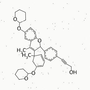 CC1=C(C2(C)C=CC=C(OC3CCCCO3)C2)C(c2ccc(C#CCO)cc2)Oc2ccc(OC3CCCCO3)cc21